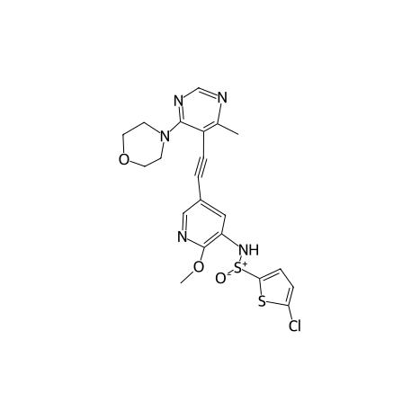 COc1ncc(C#Cc2c(C)ncnc2N2CCOCC2)cc1N[S+]([O-])c1ccc(Cl)s1